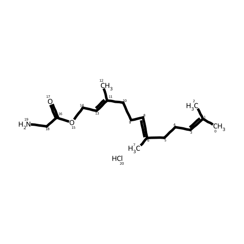 CC(C)=CCCC(C)=CCCC(C)=CCOC(=O)CN.Cl